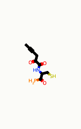 CC#CCC(=O)C(=O)NC(CS)C(=O)P